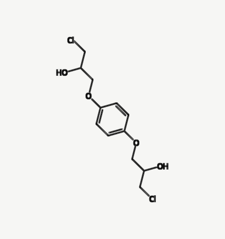 OC(CCl)COc1ccc(OCC(O)CCl)cc1